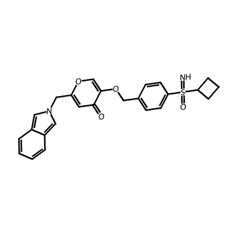 N=S(=O)(c1ccc(COc2coc(Cn3cc4ccccc4c3)cc2=O)cc1)C1CCC1